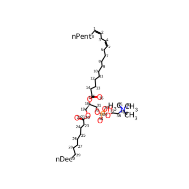 CCCCC/C=C\C/C=C\CCCCCCCCCC(=O)O[C@H](COC(=O)CCCCCCCCCCCCCCCCC)COP(=O)(O)OCC[N+](C)(C)C